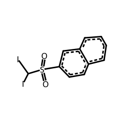 O=S(=O)(c1ccc2ccccc2c1)C(I)I